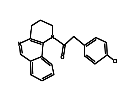 O=C(Cc1ccc(Cl)cc1)N1CCCc2ncc3ccccc3c21